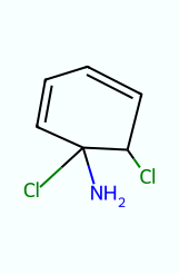 NC1(Cl)C=CC=CC1Cl